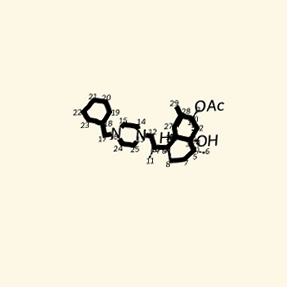 CC(=O)O[C@@H]1[C][C@@]2(O)[C@H](C)CC[C@@H]([C@H](C)CN3CCN(CC4CCCCC4)CC3)[C@H]2C=C1C